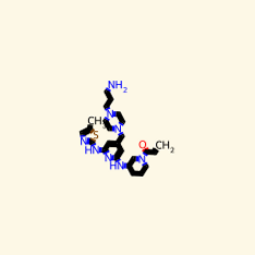 C=CC(=O)N1CCCC(Nc2cc(CN3CCN(CCCN)CC3)cc(Nc3ncc(C)s3)n2)C1